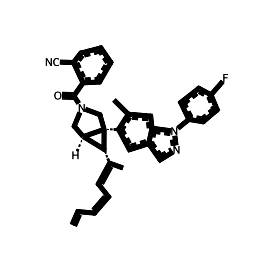 C=C/C=C\C=C(/C)[C@@H]1[C@H]2CN(C(=O)c3ccccc3C#N)C[C@]21c1cc2cnn(-c3ccc(F)cc3)c2cc1C